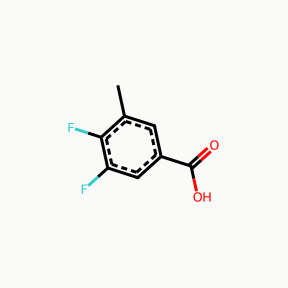 Cc1cc(C(=O)O)cc(F)c1F